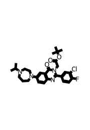 CC(C)N1CCCN(c2ccc3nc(-c4ccc(F)c(Cl)c4)n(CC(=O)OC(C)(C)C)c(=O)c3c2)CC1